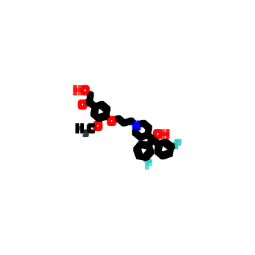 COc1cc(C(=O)CO)ccc1OCCCN1CCC(C(O)(c2cccc(F)c2)c2cccc(F)c2)CC1